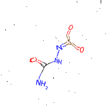 NC(=O)NN=S(=O)=O